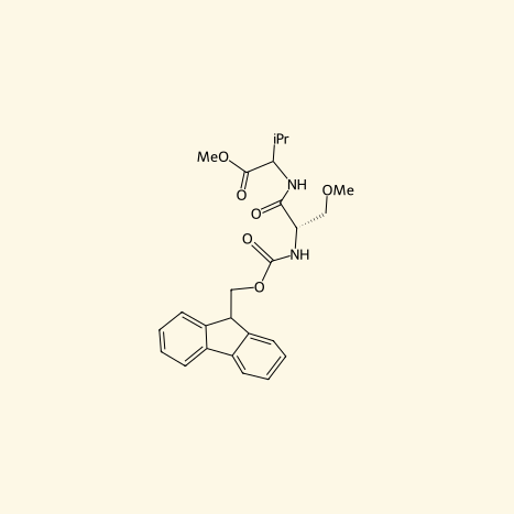 COC[C@H](NC(=O)OCC1c2ccccc2-c2ccccc21)C(=O)NC(C(=O)OC)C(C)C